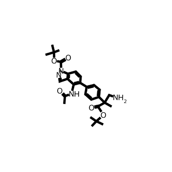 CC(=O)Nc1c(-c2ccc(C(C)(CN)C(=O)OC(C)(C)C)cc2)ccc2c1cnn2C(=O)OC(C)(C)C